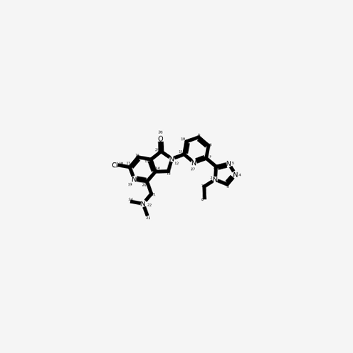 CCn1cnnc1-c1cccc(N2Cc3c(cc(Cl)nc3CN(C)C)C2=O)n1